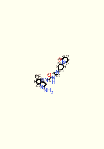 Nc1cc(NCC(=O)NC2CN([C@H]3CC[C@@H](n4ccccc4=O)CC3)C2)c2cc(C(F)(F)F)ccc2n1